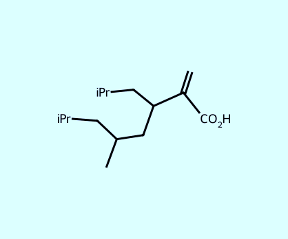 C=C(C(=O)O)C(CC(C)C)CC(C)CC(C)C